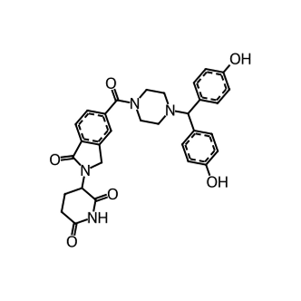 O=C1CCC(N2Cc3cc(C(=O)N4CCN(C(c5ccc(O)cc5)c5ccc(O)cc5)CC4)ccc3C2=O)C(=O)N1